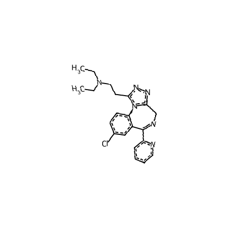 CCN(CC)CCc1nnc2n1-c1ccc(Cl)cc1C(c1ccccn1)=NC2